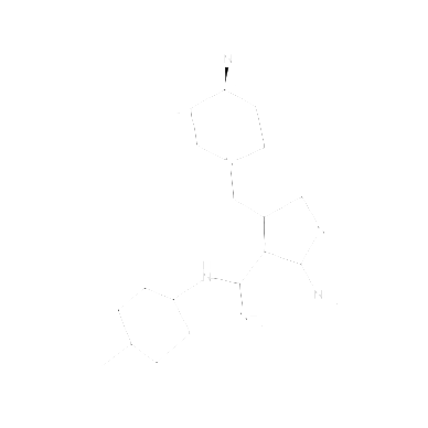 C[C@H]1CN(CC2CNC(N)C2C(N)NC2CCC(Cl)CC2)CC[C@@H]1N